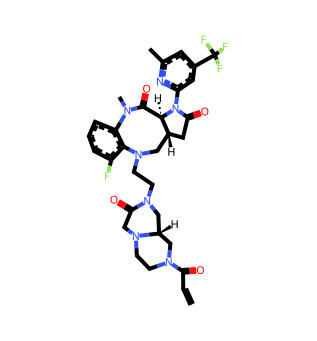 C=CC(=O)N1CCN2CC(=O)N(CCN3C[C@H]4CC(=O)N(c5cc(C(F)(F)F)cc(C)n5)[C@@H]4C(=O)N(C)c4cccc(F)c43)C[C@@H]2C1